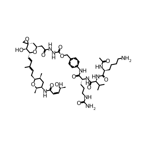 CC(=O)N[C@@H](CCCCN)C(=O)N[C@H](C(=O)N[C@H](CCCNC(N)=O)C(=O)Nc1ccc(COC(=O)NNC(=O)C[C@@H]2C[C@@]3(CO3)[C@H](O)[C@@H](/C=C/C(C)=C/C[C@@H]3O[C@H](C)[C@H](NC(=O)/C=C\[C@H](C)O)C[C@@H]3C)O2)cc1)C(C)C